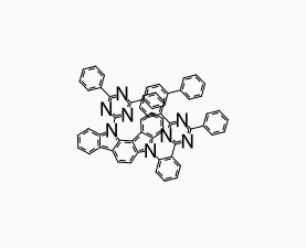 c1ccc(-c2ccc(-c3nc(-c4ccccc4)nc(-n4c5ccccc5c5ccc6c(c7ccccc7n6-c6ccccc6-c6nc(-c7ccccc7)nc(-c7ccccc7)n6)c54)n3)cc2)cc1